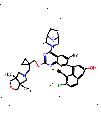 C#Cc1c(F)ccc2cc(O)cc(-c3cc4nc(OCC5(CN6C[C@]7(C)COC[C@]7(C)C6)CC5)nc(N5CC6CCC(C5)N6)c4cc3C(C)C)c12